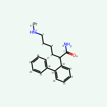 CC(C)NCCCCC(C(N)=O)c1ccccc1-c1ccccc1